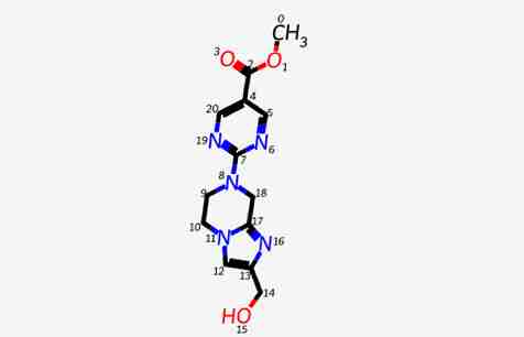 COC(=O)c1cnc(N2CCn3cc(CO)nc3C2)nc1